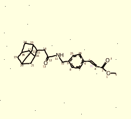 COC(=O)/C=C/c1ccc(CNC(=O)CC2C3CC4CC(C3)CC2C4)cc1